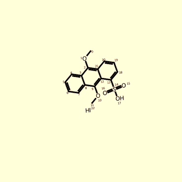 COc1c2ccccc2c(OC)c2c(S(=O)(=O)O)cccc12.I